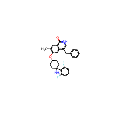 Cc1cc2c(=O)[nH]cc(Cc3ccccc3)c2cc1O[C@H]1CC[C@@](N)(c2c(F)cccc2F)CC1